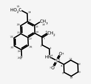 C=C(CCNS(=O)(=O)C1CCCCC1)c1c(C)c(CC(=O)O)cc2ccc(F)cc12